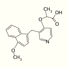 COc1ccc(Cc2cnccc2OC(C)C(=O)O)c2ccccc12